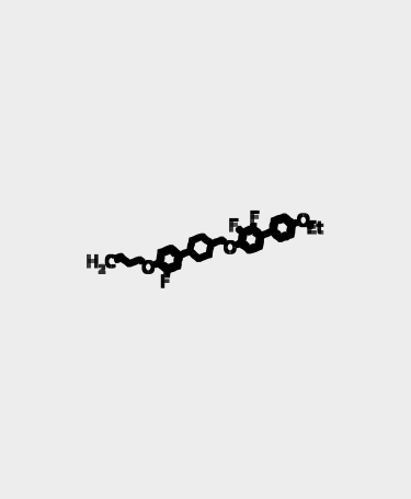 C=CCCOc1ccc(C2CCC(COc3ccc(-c4ccc(OCC)cc4)c(F)c3F)CC2)cc1F